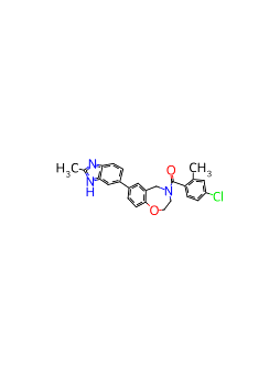 Cc1nc2ccc(-c3ccc4c(c3)CN(C(=O)c3ccc(Cl)cc3C)CCO4)cc2[nH]1